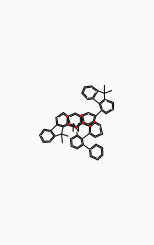 CC1(C)c2ccccc2-c2c(-c3ccc(N(c4cccc(-c5ccccc5)c4-c4ccccc4-c4ccccc4)c4cccc5c4C(C)(C)c4ccccc4-5)cc3)cccc21